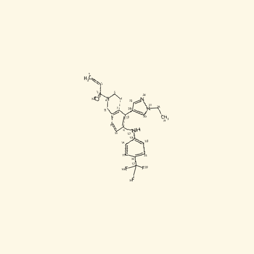 C=CC(=O)N1CCc2c(ccc(Nc3ccc(C(F)(F)F)cc3)c2-c2cnn(CC)c2)C1